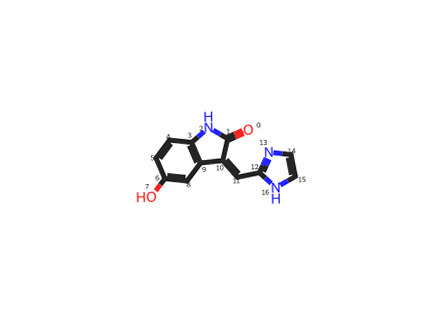 O=C1Nc2ccc(O)cc2/C1=C/c1ncc[nH]1